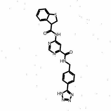 O=C(NCc1ccc(-c2nnn[nH]2)cc1)c1cc(NC(=O)C2CSc3ccccc32)ncn1